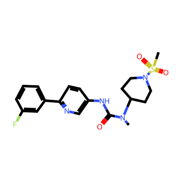 CN(C(=O)Nc1ccc(-c2cccc(F)c2)nc1)C1CCN(S(C)(=O)=O)CC1